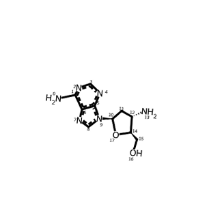 Nc1ncnc2c1ncn2[C@H]1C[C@H](N)[C@@H](CO)O1